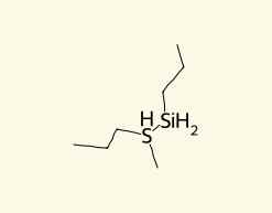 CCC[SiH2][SH](C)CCC